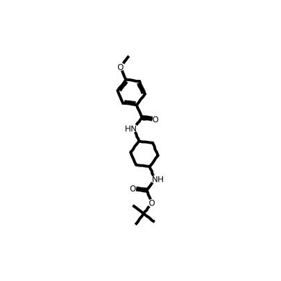 COc1ccc(C(=O)NC2CCC(NC(=O)OC(C)(C)C)CC2)cc1